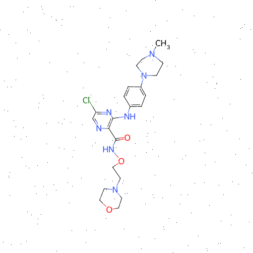 CN1CCN(c2ccc(Nc3nc(Cl)cnc3C(=O)NOCCN3CCOCC3)cc2)CC1